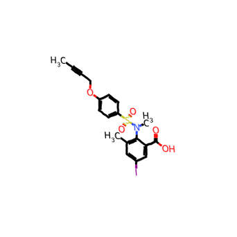 CC#CCOc1ccc(S(=O)(=O)N(C)c2c(C)cc(I)cc2C(=O)O)cc1